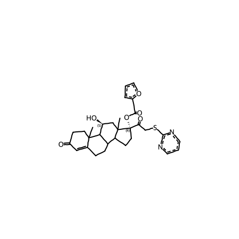 CC12CCC(=O)C=C1CCC1C2[C@@H](O)CC2(C)C1CC[C@]2(OC(=O)c1ccco1)C(=O)CSc1ncccn1